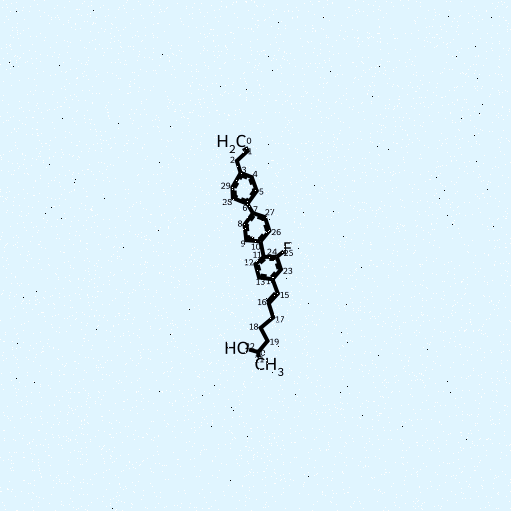 C=CCc1ccc(-c2ccc(-c3ccc(C=CCCCC(C)O)cc3F)cc2)cc1